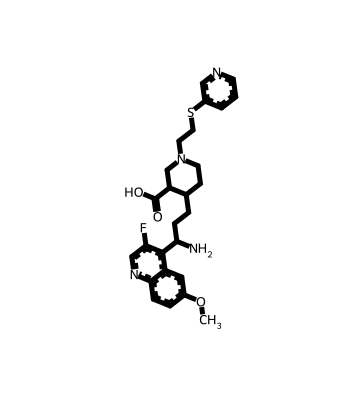 COc1ccc2ncc(F)c(C(N)CCC3CCN(CCSc4cccnc4)CC3C(=O)O)c2c1